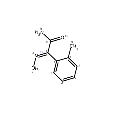 Cc1ccccc1/C(=N\O)C(N)=O